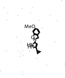 COc1ccc2c(c1)ON(C1C=C(C3CC3)NN1)C2